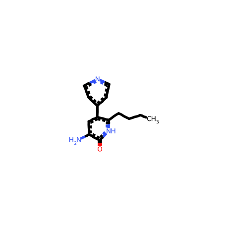 CCCCc1[nH]c(=O)c(N)cc1-c1ccncc1